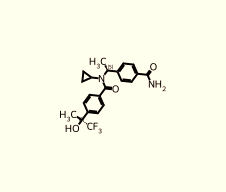 C[C@@H](c1ccc(C(N)=O)cc1)N(C(=O)c1ccc([C@](C)(O)C(F)(F)F)cc1)C1CC1